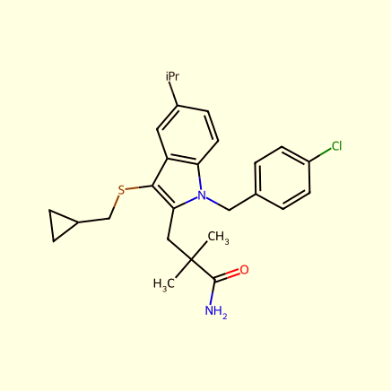 CC(C)c1ccc2c(c1)c(SCC1CC1)c(CC(C)(C)C(N)=O)n2Cc1ccc(Cl)cc1